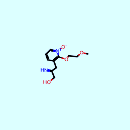 COCCOc1c(CC(=N)CO)ccc[n+]1[O-]